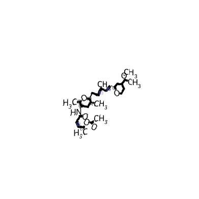 COC(C)C1CCO[C@H](/C=C/C(C)=C/C[C@@H]2O[C@H](C)[C@H](NC(=O)/C=C\[C@H](C)OC(C)=O)C[C@@H]2C)C1